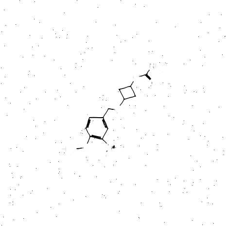 COc1ccc(COC2CC(OC(N)=O)C2)cc1[N+](=O)[O-]